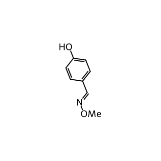 CON=Cc1ccc(O)cc1